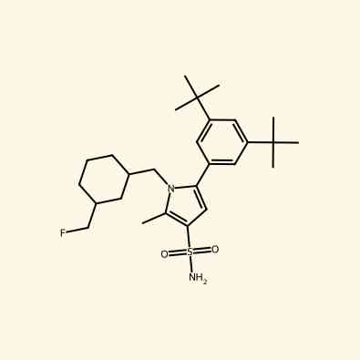 Cc1c(S(N)(=O)=O)cc(-c2cc(C(C)(C)C)cc(C(C)(C)C)c2)n1CC1CCCC(CF)C1